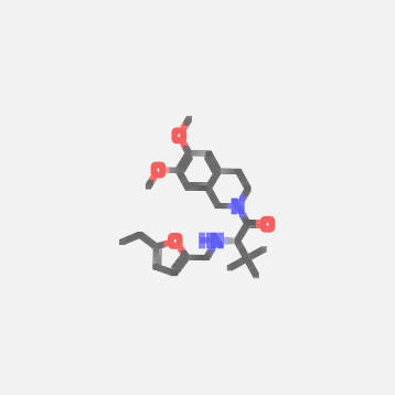 CCc1ccc(CN[C@H](C(=O)N2CCc3cc(OC)c(OC)cc3C2)C(C)(C)C)o1